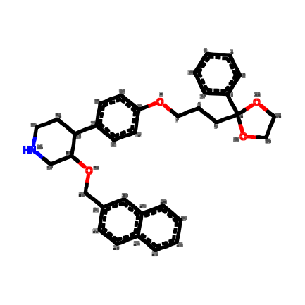 c1ccc(C2(CCCOc3ccc(C4CCNCC4OCc4ccc5ccccc5c4)cc3)OCCO2)cc1